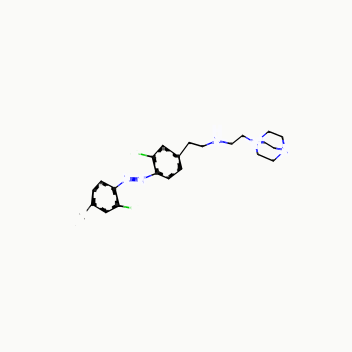 O=[N+]([O-])c1ccc(N=Nc2ccc(CCNCC[N+]34CCN(CC3)CC4)cc2Cl)c(Cl)c1